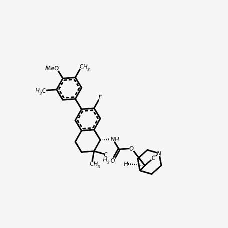 COc1c(C)cc(-c2cc3c(cc2F)[C@H](NC(=O)O[C@H]2CN4CCC2CC4)C(C)(C)CC3)cc1C